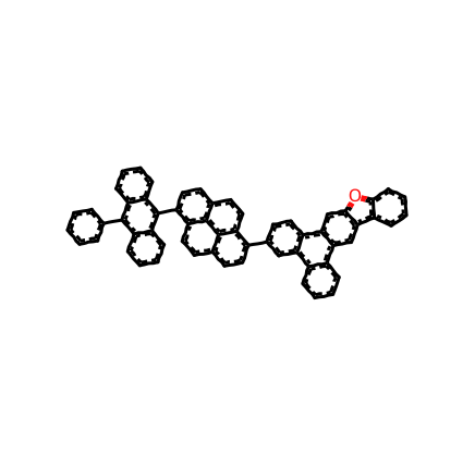 c1ccc(-c2c3ccccc3c(-c3ccc4ccc5c(-c6ccc7c(c6)c6ccccc6c6cc8c(cc76)oc6ccccc68)ccc6ccc3c4c65)c3ccccc23)cc1